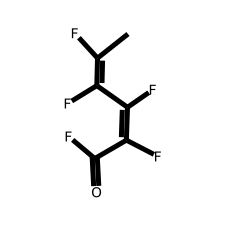 C/C(F)=C(F)\C(F)=C(\F)C(=O)F